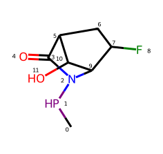 CPN1C(=O)C2CC(F)C1C2O